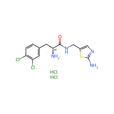 Cl.Cl.Nc1ncc(CNC(=O)[C@@H](N)Cc2ccc(Cl)c(Cl)c2)s1